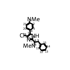 CNc1ccc(-c2[nH]c(C(Cc3ccccc3)NC)nc2Cl)cc1